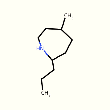 CCCC1CCC(C)CCN1